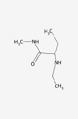 CCNC(CC)C(=O)NC